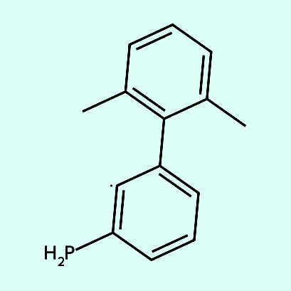 Cc1cccc(C)c1-c1[c]c(P)ccc1